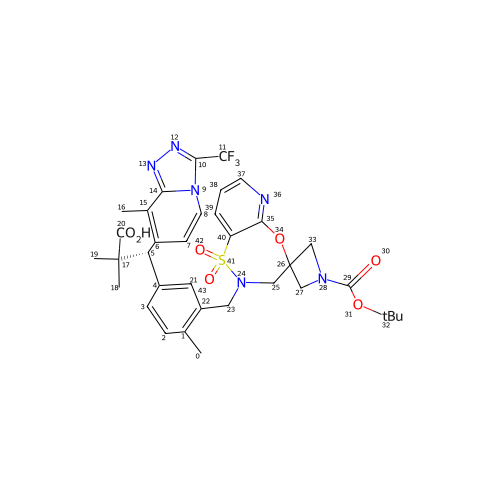 Cc1ccc([C@@H](c2ccn3c(C(F)(F)F)nnc3c2C)C(C)(C)C(=O)O)cc1CN1CC2(CN(C(=O)OC(C)(C)C)C2)Oc2ncccc2S1(=O)=O